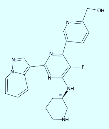 OCc1ccc(-c2nc(-c3cnn4ccccc34)nc(N[C@@H]3CCCNC3)c2F)cn1